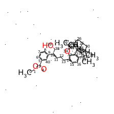 CCOC(=O)c1cccc(C(=CCCc2ccc(C(C)(C)C)c(C34CC5CC(CC(C5)C3)C4)c2O[SiH](C)C)CO)c1